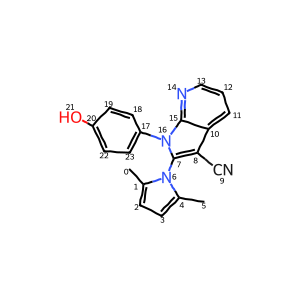 Cc1ccc(C)n1-c1c(C#N)c2cccnc2n1-c1ccc(O)cc1